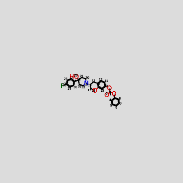 O=C(Oc1ccccc1)Oc1ccc2c(c1)OC[C@H](N1CCC(O)(c3ccc(F)cc3)CC1)C2